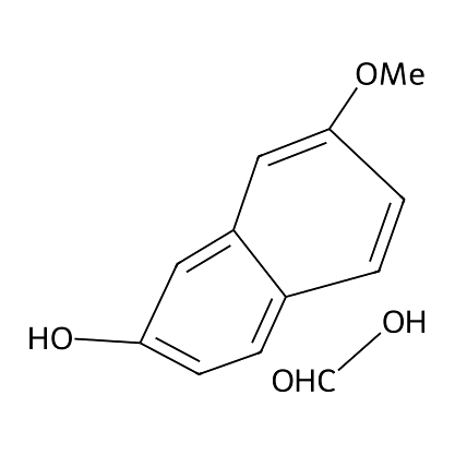 COc1ccc2ccc(O)cc2c1.O=CO